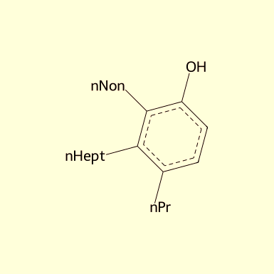 CCCCCCCCCc1c(O)ccc(CCC)c1CCCCCCC